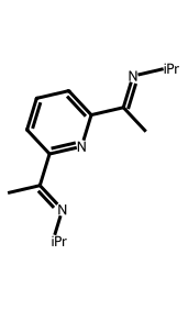 CC(=NC(C)C)c1cccc(C(C)=NC(C)C)n1